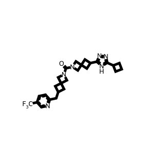 O=C(N1CC2(CC(Cc3ccc(C(F)(F)F)cn3)C2)C1)N1CC2(CC(c3nnc(C4CCC4)[nH]3)C2)C1